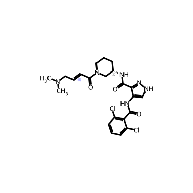 CN(C)C/C=C/C(=O)N1CCC[C@H](NC(=O)c2n[nH]cc2NC(=O)c2c(Cl)cccc2Cl)C1